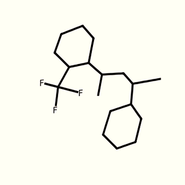 CC(CC(C)C1CCCCC1C(F)(F)F)C1CCCCC1